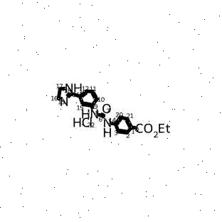 CCOC(=O)c1ccc(NC(=O)Nc2cccc(C3=NCCN3)c2)cc1.Cl